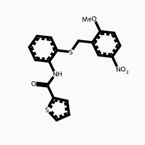 COc1ccc([N+](=O)[O-])cc1CSc1ccccc1NC(=O)c1cccs1